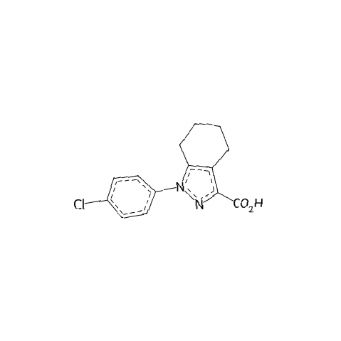 O=C(O)c1nn(-c2ccc(Cl)cc2)c2c1CCCC2